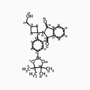 CC1(C)OB(c2ccc([C@]3(N4C(=O)c5ccccc5C4=O)C[C@H](CO)C3)cc2)OC1(C)C